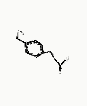 NCc1ccc(CCC(=O)Cl)cc1